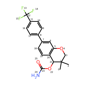 CC1(C)COc2cc(-c3ccc(C(F)(F)F)cc3)ccc2C1OC(N)=O